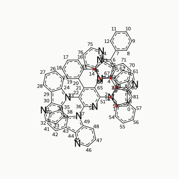 c1ccc(-c2cc(-c3ccccc3)nc(-c3ccccc3-c3c(-n4c5ccccc5c5ncccc54)c(-n4c5ccccc5c5ncccc54)nc(-n4c5ccccc5c5ncccc54)c3-n3c4ccccc4c4ncccc43)n2)cc1